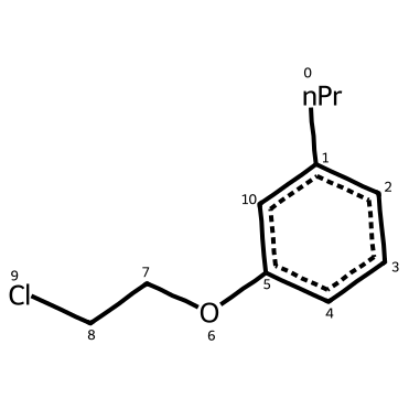 CCCc1cccc(OCCCl)c1